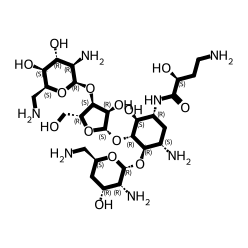 NCC[C@H](O)C(=O)N[C@@H]1C[C@H](N)[C@@H](O[C@H]2O[C@H](CN)C[C@@H](O)[C@H]2N)[C@H](O[C@@H]2O[C@H](CO)[C@@H](O[C@H]3O[C@@H](CN)[C@@H](O)[C@H](O)[C@H]3N)[C@H]2O)[C@H]1O